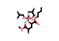 CCCCOC(=O)C(CC(C)C(=O)OC)SP(=S)(OCC(C)C)OCC(C)C